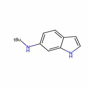 CC(C)(C)Nc1ccc2cc[nH]c2c1